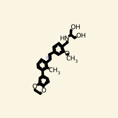 COc1cc(/C=C/c2cccc(-c3ccc4c(c3)OCCO4)c2C)ccc1CNC(CO)CO